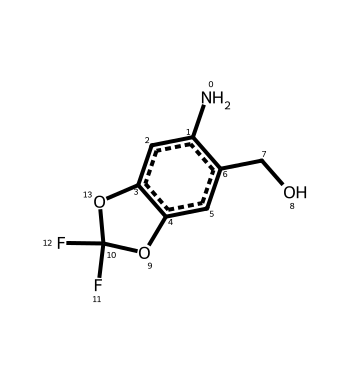 Nc1cc2c(cc1CO)OC(F)(F)O2